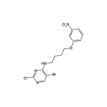 O=[N+]([O-])c1cccc(OCCCCNc2nc(Cl)ncc2Br)c1